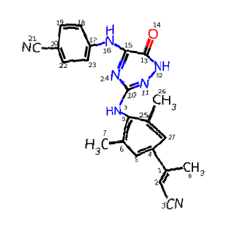 C/C(=C\C#N)c1cc(C)c(Nc2n[nH]c(=O)c(Nc3ccc(C#N)cc3)n2)c(C)c1